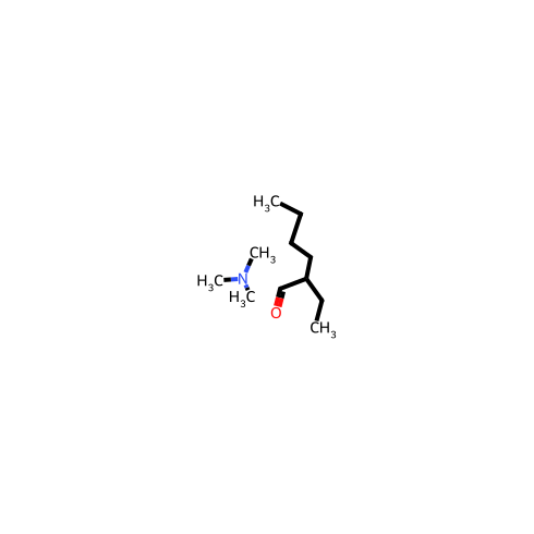 CCCCC(C=O)CC.CN(C)C